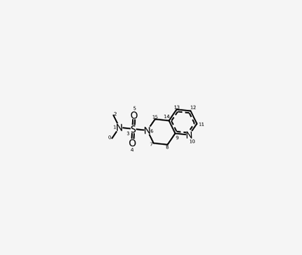 CN(C)S(=O)(=O)N1CCc2ncccc2C1